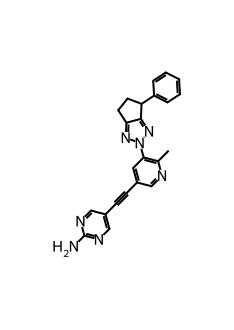 Cc1ncc(C#Cc2cnc(N)nc2)cc1-n1nc2c(n1)C(c1ccccc1)CC2